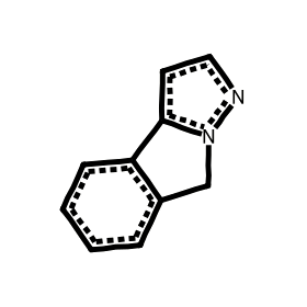 c1ccc2c(c1)Cn1nccc1-2